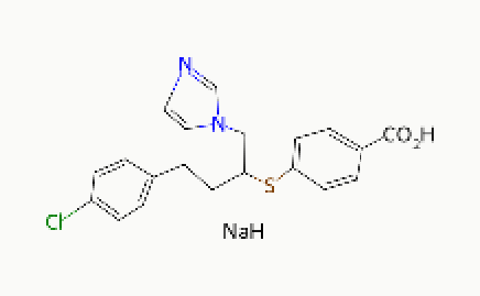 O=C(O)c1ccc(SC(CCc2ccc(Cl)cc2)Cn2ccnc2)cc1.[NaH]